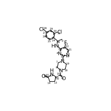 C[C@@H](Nc1nc(N2CCN(C(=O)[C@H]3CCC(=O)N3)CC2)ncc1F)c1ccc(Cl)cc1Cl